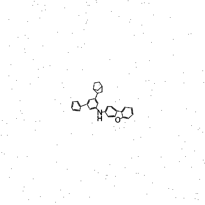 c1ccc(-c2cc(Nc3ccc4c(c3)oc3ccccc34)cc(C3CC4CCC3C4)c2)cc1